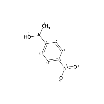 C[C](O)c1ccc([N+](=O)[O-])cc1